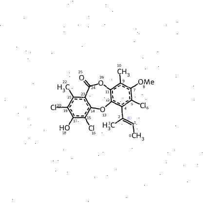 C/C=C(\C)c1c(Cl)c(OC)c(C)c2c1Oc1c(Cl)c(O)c(Cl)c(C)c1C(=O)O2